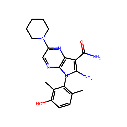 Cc1ccc(O)c(C)c1-n1c(N)c(C(N)=O)c2nc(N3CCCCC3)cnc21